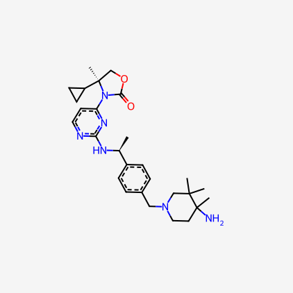 C[C@H](Nc1nccc(N2C(=O)OC[C@]2(C)C2CC2)n1)c1ccc(CN2CCC(C)(N)C(C)(C)C2)cc1